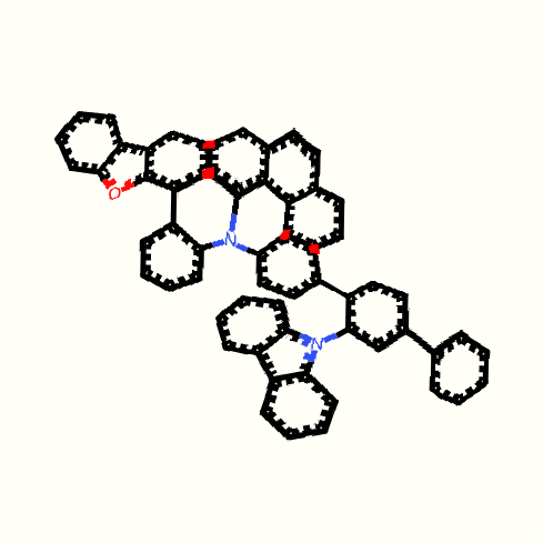 c1ccc(-c2ccc(-c3ccc(N(c4ccccc4-c4cccc5c4oc4ccccc45)c4cccc5ccc6ccccc6c45)cc3)c(-n3c4ccccc4c4ccccc43)c2)cc1